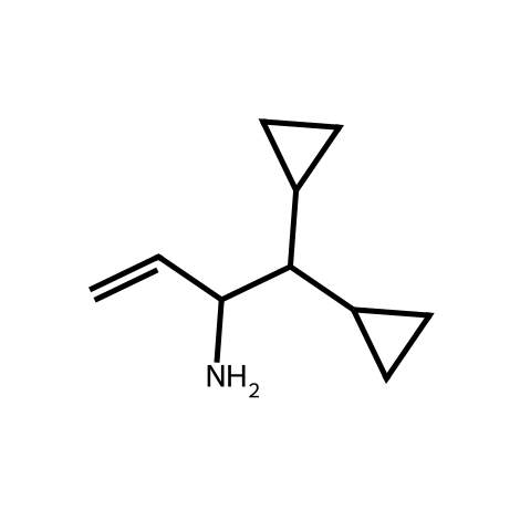 C=CC(N)C(C1CC1)C1CC1